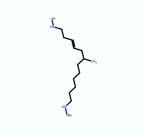 CCCCNCCCCCCC(C)C/C=C/CCNCCC